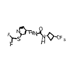 O=C(NCc1ccnc(SC(F)F)c1)N[C@H]1C[C@H](C(F)(F)F)C1